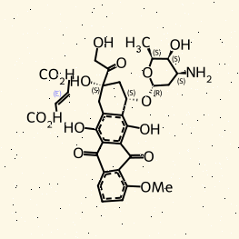 COc1cccc2c1C(=O)c1c(O)c3c(c(O)c1C2=O)C[C@@](O)(C(=O)CO)C[C@@H]3O[C@H]1C[C@H](N)[C@H](O)[C@H](C)O1.O=C(O)/C=C/C(=O)O